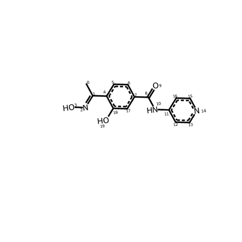 CC(=NO)c1ccc(C(=O)Nc2ccncc2)cc1O